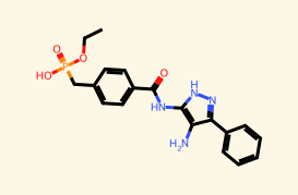 CCOP(=O)(O)Cc1ccc(C(=O)Nc2[nH]nc(-c3ccccc3)c2N)cc1